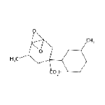 CC1CCCC(C2(C(=O)O)CC(C)C34OC3(C2)O4)C1